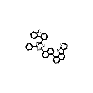 c1ccc(-c2nc(-c3cccc4c(-c5cccc6ccc7c8cccnc8sc7c56)cccc34)nc(-c3cccc4oc5ccccc5c34)n2)cc1